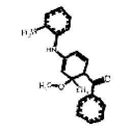 COC1(C)C=C(Nc2ccccc2N)C=CC1C(=O)c1ccccc1